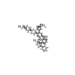 COc1nc(N2CCC(N3CCN(C)CC3)CC2)c(-c2cnn(C)c2)cc1Nc1cc(N2OCC[C@@H]2c2ccccc2)ncn1